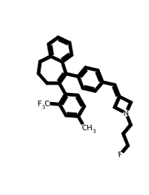 Cc1ccc(C2=C(c3ccc(C=C4CN(CCCF)C4)cc3)c3ccccc3CCC2)c(C(F)(F)F)c1